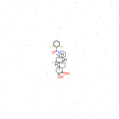 C[C@]12CC[C@H](O)[C@H](O)C1CC[C@@H]1[C@@H]2[C@@H](F)C[C@@]2(C)[C@H]1CCCN2C(=O)c1c(F)cccc1F